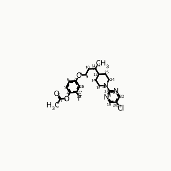 CC(=O)Oc1ccc(OCC[C@@H](C)C2CCN(c3ncc(Cl)cn3)CC2)cc1F